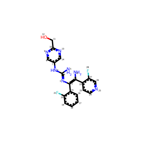 N/C(=C(\N=C(/N)Nc1cnc(CO)nc1)c1ccccc1F)c1ccncc1F